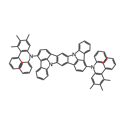 Cc1cc(N(c2ccccc2)c2ccc3c4cc5c(cc4n4c6ccccc6c2c34)c2ccc(N(c3ccccc3)c3cc(C)c(C)c(C)c3-c3ccccc3)c3c4ccccc4n5c23)c(-c2ccccc2)c(C)c1C